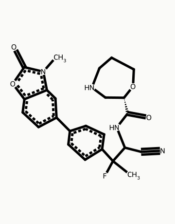 Cn1c(=O)oc2ccc(-c3ccc(C(C)(F)C(C#N)NC(=O)[C@@H]4CNCCCO4)cc3)cc21